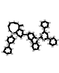 C=C1/C=C\C=C/CN(c2ccc(-c3ccccc3)cc2)c2ccc(-c3ccc4c(c3)c3ccccc3n4-c3nc(-c4ccccc4)cc(-c4ccccc4)n3)cc21